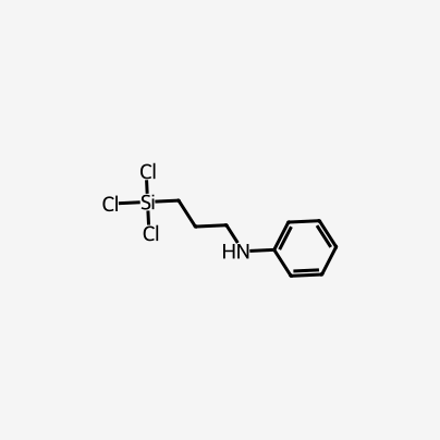 Cl[Si](Cl)(Cl)CCCNc1ccccc1